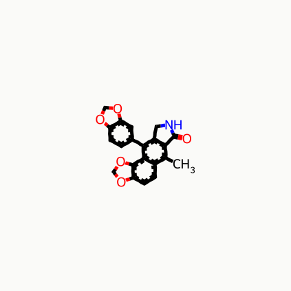 Cc1c2c(c(-c3ccc4c(c3)OCO4)c3c4c(ccc13)OCO4)CNC2=O